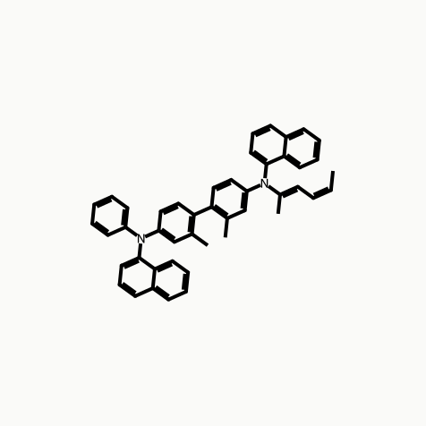 C/C=C\C=C(/C)N(c1ccc(-c2ccc(N(c3ccccc3)c3cccc4ccccc34)cc2C)c(C)c1)c1cccc2ccccc12